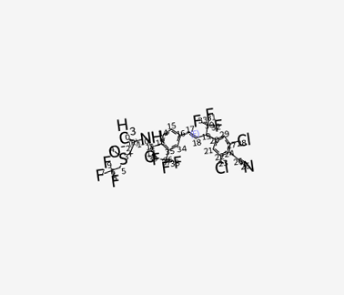 C[C@H](C[S+]([O-])CC(F)(F)F)NC(=O)c1ccc(/C=C/C(c2cc(Cl)c(C#N)c(Cl)c2)C(F)(F)F)cc1C(F)(F)F